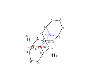 ON=C1CC2CCCC(C1)N2[C@H]1C[C@@H]2CCC[C@@H](C2)C1